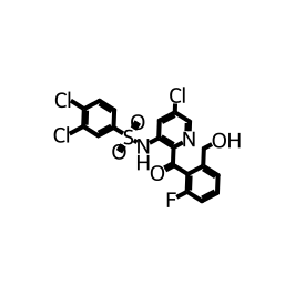 O=C(c1ncc(Cl)cc1NS(=O)(=O)c1ccc(Cl)c(Cl)c1)c1c(F)cccc1CO